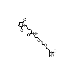 CC(=O)NCCOCCOCCNC(=O)CCCN1C(=O)C=CC1=O